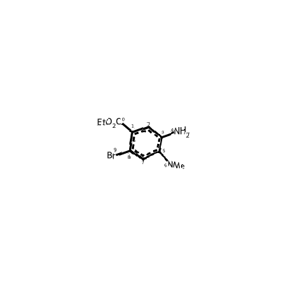 CCOC(=O)c1cc(N)c(NC)cc1Br